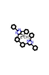 C[Si]1(C)c2ccccc2-c2nc(-c3ccccc3)nc(-c3cccc(-c4cccc(-c5cc(-c6ccccc6)nc(-c6ccccc6)n5)c4)c3)c21